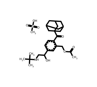 CC(=O)OCc1cc(C(O)CNC(C)(C)C)ccc1C(=O)C12CC3CC(CC(C3)C1)C2.CS(=O)(=O)O